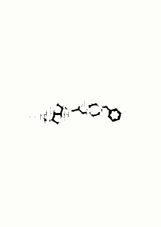 O=[N+]([O-])O[C@@H]1CO[C@H]2[C@@H]1OC[C@@H]2OCC(O)CN1CCN(Cc2ccccc2)CC1